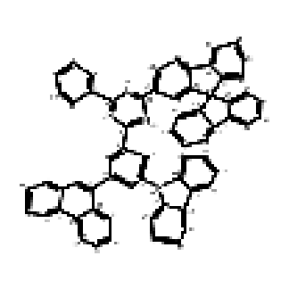 c1ccc(-c2nc(-c3cc(-c4cc5ccccc5c5ccccc45)cc(-n4c5ccccc5c5ccccc54)c3)nc(-c3ccc4c(c3)C3(c5ccccc5-c5ccccc53)c3ccccc3-4)n2)cc1